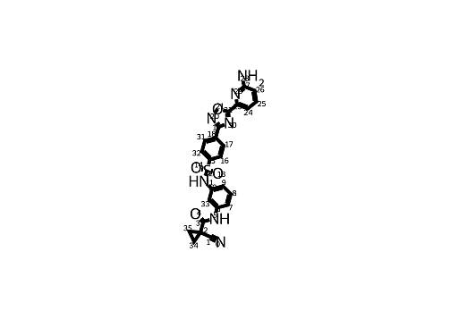 N#CC1(C(=O)Nc2cccc(NS(=O)(=O)c3ccc(-c4noc(-c5cccc(N)n5)n4)cc3)c2)CC1